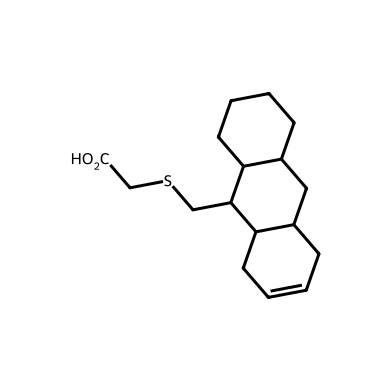 O=C(O)CSCC1C2CC=CCC2CC2CCCCC21